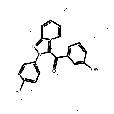 O=C(c1cccc(O)c1)c1c2ccccc2nn1-c1ccc(Br)cc1